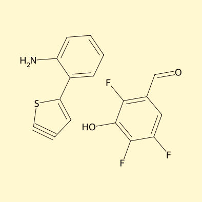 Nc1ccccc1-c1cc#cs1.O=Cc1cc(F)c(F)c(O)c1F